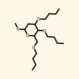 CCCCOCC1OC(OC)CC(OCCCC)C1OCCCC